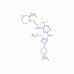 C=C1COCCCN1CCCNc1nc(Nc2cn(C3CCN(C)CC3)nc2CC)ncc1C(F)(F)F